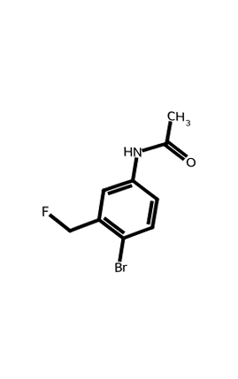 CC(=O)Nc1ccc(Br)c(CF)c1